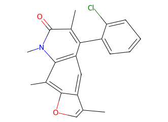 Cc1c(-c2ccccc2Cl)c2cc3c(C)coc3c(C)c2n(C)c1=O